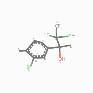 Cc1ccc(C(C)(O)C(F)(F)C(F)(F)F)cc1Br